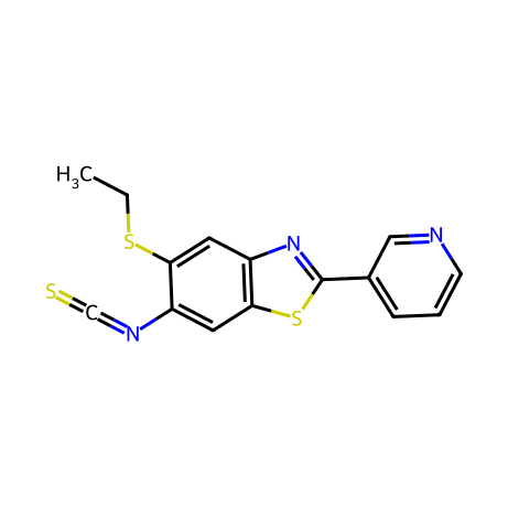 CCSc1cc2nc(-c3cccnc3)sc2cc1N=C=S